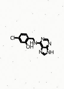 Oc1cc(Cl)ccc1CNc1ncnc2[nH]cnc12